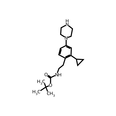 CC(C)(C)OC(=O)NCCc1ccc(N2CCNCC2)cc1C1CC1